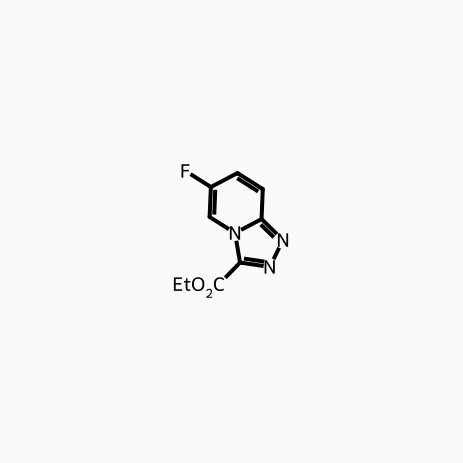 CCOC(=O)c1nnc2ccc(F)cn12